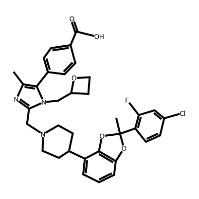 Cc1nc(CN2CCC(c3cccc4c3OC(C)(c3ccc(Cl)cc3F)O4)CC2)n(CC2CCO2)c1-c1ccc(C(=O)O)cc1